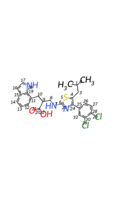 CC(C)Cc1sc(NCC(Cc2cccc3cc[nH]c23)C(=O)O)nc1-c1ccc(Cl)c(Cl)c1